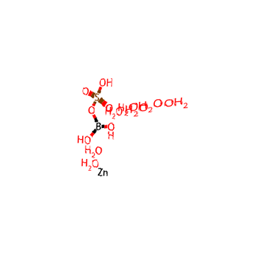 O.O.O.O.O.O.O.O=S(=O)(O)OB(O)O.[Zn]